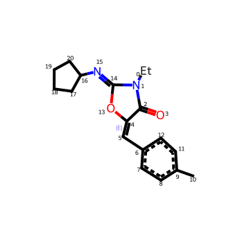 CCN1C(=O)/C(=C\c2ccc(C)cc2)OC1=NC1CCCC1